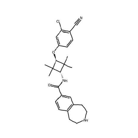 CC1(C)[C@H](NC(=O)c2ccc3c(c2)CCNCC3)C(C)(C)[C@H]1Oc1ccc(C#N)c(Cl)c1